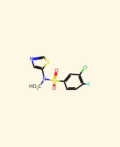 O=C(O)N(c1cncs1)S(=O)(=O)c1ccc(F)c(Cl)c1